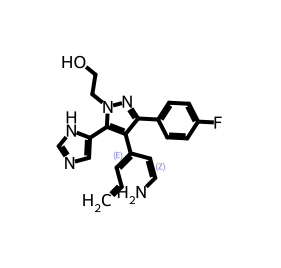 C=C/C=C(\C=C/N)c1c(-c2ccc(F)cc2)nn(CCO)c1-c1cnc[nH]1